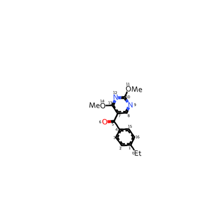 CCc1ccc(C(=O)c2cnc(OC)nc2OC)cc1